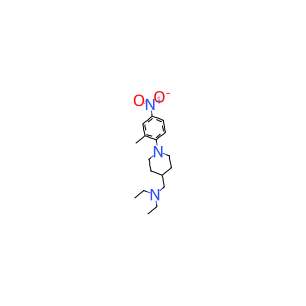 CCN(CC)CC1CCN(c2ccc([N+](=O)[O-])cc2C)CC1